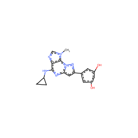 Cn1cnc2c(NC3CC3)nc3cc(-c4cc(O)cc(O)c4)nn3c21